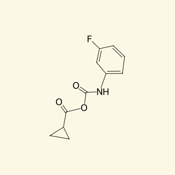 O=C(Nc1cccc(F)c1)OC(=O)C1CC1